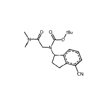 CN(C)C(=O)CN(C(=O)OC(C)(C)C)C1CCc2c(C#N)cccc21